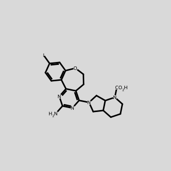 Nc1nc2c(c(N3CC4CCCN(C(=O)O)C4C3)n1)CCOc1cc(I)ccc1-2